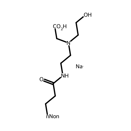 CCCCCCCCCCCC(=O)NCCN(CCO)CC(=O)O.[Na]